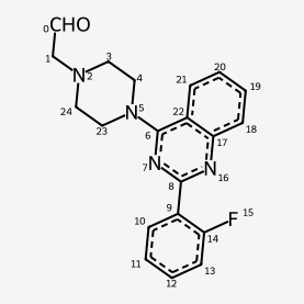 O=CCN1CCN(c2nc(-c3ccccc3F)nc3ccccc23)CC1